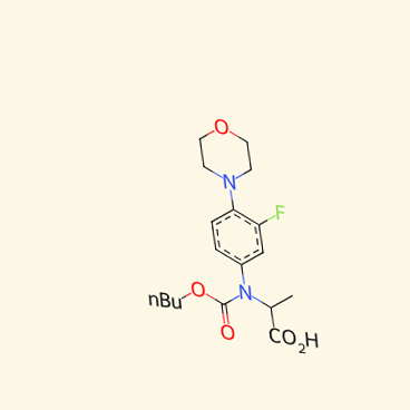 CCCCOC(=O)N(c1ccc(N2CCOCC2)c(F)c1)C(C)C(=O)O